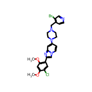 COc1cc(OC)c(-c2cn3ccc(N4CCN(Cc5ccncc5Br)CC4)cc3n2)cc1Cl